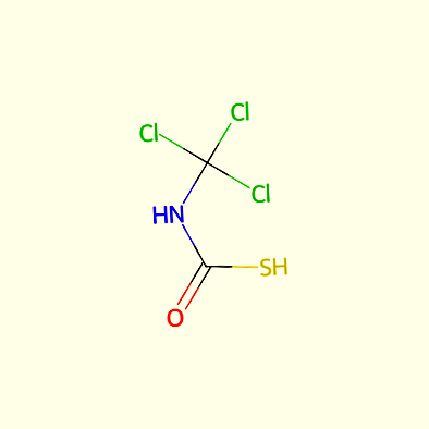 O=C(S)NC(Cl)(Cl)Cl